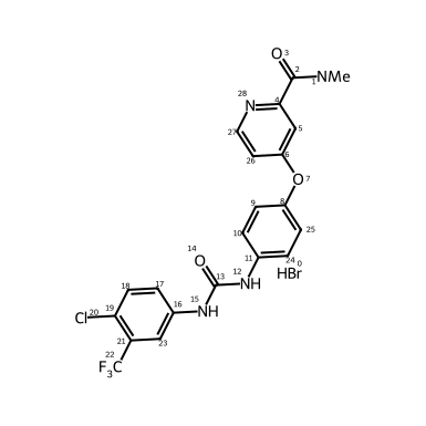 Br.CNC(=O)c1cc(Oc2ccc(NC(=O)Nc3ccc(Cl)c(C(F)(F)F)c3)cc2)ccn1